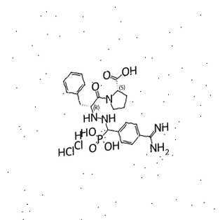 Cl.Cl.N=C(N)c1ccc(C(NN[C@H](Cc2ccccc2)C(=O)N2CCC[C@H]2C(=O)O)P(=O)(O)O)cc1